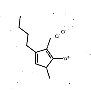 CCCCC1=CC(C)[C]([Zr+2])=C1C.[Cl-].[Cl-]